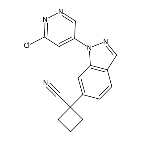 N#CC1(c2ccc3cnn(-c4cnnc(Cl)c4)c3c2)CCC1